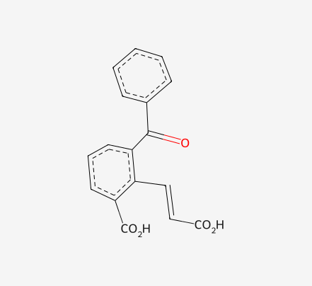 O=C(O)C=Cc1c(C(=O)O)cccc1C(=O)c1ccccc1